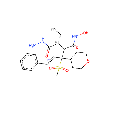 CC(C)C[C@@H](C(=O)NN)C(C(=O)NO)C(/C=C/c1ccccc1)(C1CCOCC1)S(C)(=O)=O